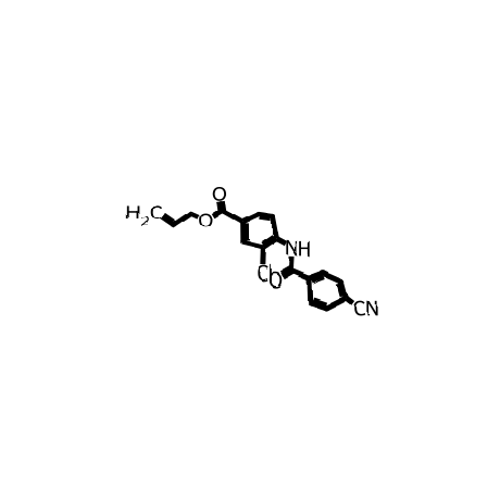 C=CCOC(=O)c1ccc(NC(=O)c2ccc(C#N)cc2)c(Cl)c1